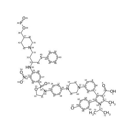 Cc1c(C(=O)O)c(-c2cccc(N3CCN(c4ccc(N5CCOP5(=O)c5ccc(NC(CCN6CCC(COP=O)CC6)CSc6ccccc6)c([N+](=O)[O-])c5)cc4)CC3)c2)c(-c2ccc(Cl)cc2)n1C(C)C